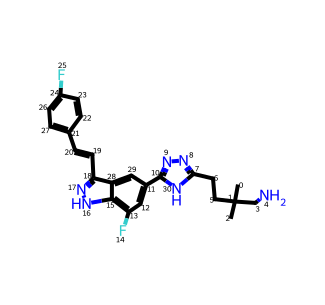 CC(C)(CN)CCc1nnc(-c2cc(F)c3[nH]nc(C=Cc4ccc(F)cc4)c3c2)[nH]1